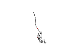 CCCCCCCCCCCCCCCCCCCCCCCCCC(CCN)NC